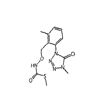 CSC(=O)NOCc1c(C)cccc1-n1nnn(C)c1=O